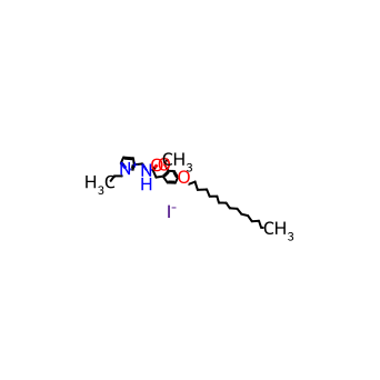 CCCCCCCCCCCCCCCCOc1ccc(CC(=O)NCc2ccc[n+](CCC)c2)c(OC)c1.[I-]